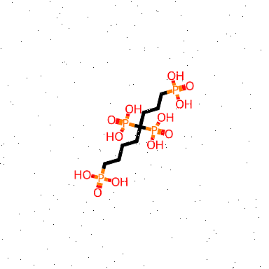 O=P(O)(O)CCCCC(CCCP(=O)(O)O)(P(=O)(O)O)P(=O)(O)O